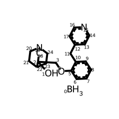 B.OC1(COc2ccccc2Cc2ccncc2)CN2CCC1CC2